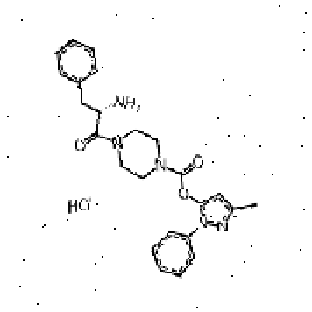 Cc1cc(OC(=O)N2CCN(C(=O)[C@@H](N)Cc3ccccc3)CC2)n(-c2ccccc2)n1.Cl